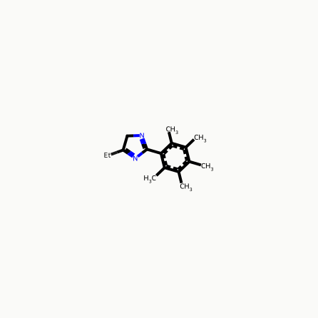 CCC1=NC(c2c(C)c(C)c(C)c(C)c2C)=NC1